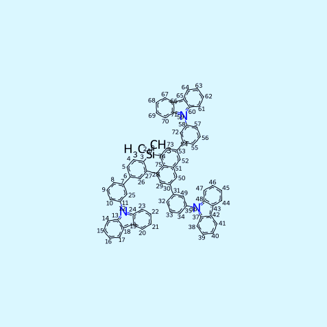 C[Si]1(C)c2ccc(-c3cccc(-n4c5ccccc5c5ccccc54)c3)cc2-c2cc(-c3cccc(-n4c5ccccc5c5ccccc54)c3)cc3cc(-c4cccc(-n5c6ccccc6c6ccccc65)c4)cc1c23